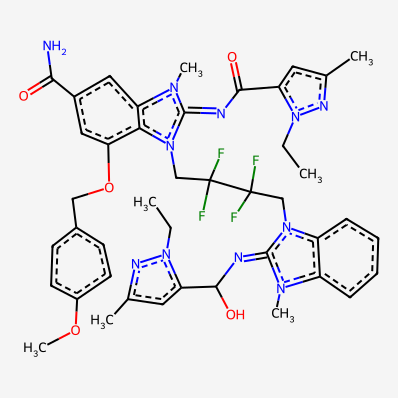 CCn1nc(C)cc1C(=O)/N=c1\n(C)c2cc(C(N)=O)cc(OCc3ccc(OC)cc3)c2n1CC(F)(F)C(F)(F)Cn1/c(=N/C(O)c2cc(C)nn2CC)n(C)c2ccccc21